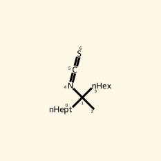 CCCCCCCC(C)(CCCCCC)N=C=S